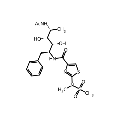 CC(=O)N[C@H](C)[C@@H](O)[C@H](O)[C@H](Cc1ccccc1)NC(=O)c1csc(N(C)S(C)(=O)=O)n1